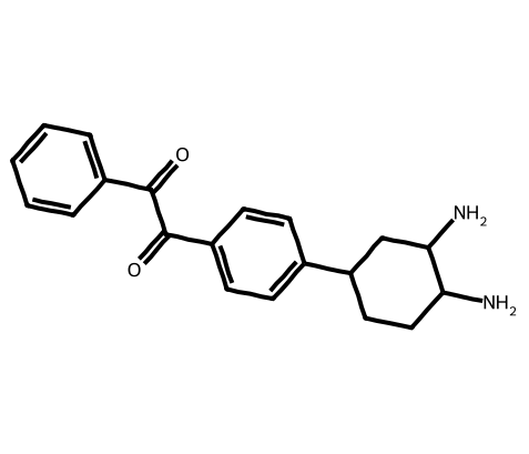 NC1CCC(c2ccc(C(=O)C(=O)c3ccccc3)cc2)CC1N